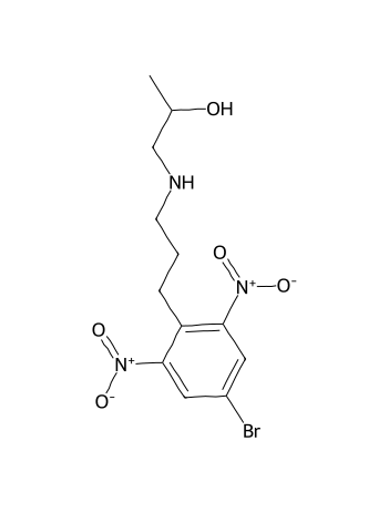 CC(O)CNCCCc1c([N+](=O)[O-])cc(Br)cc1[N+](=O)[O-]